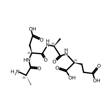 C[C@H](N)C(=O)N[C@@H](CC(=O)O)C(=O)N[C@@H](C)C(=O)N[C@@H](CCC(=O)O)C(=O)O